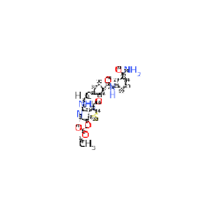 CCOC(=O)Oc1cnc(N)c2c(COc3cc(C(=O)Nc4cccc(C(N)=O)c4)ccc3C)csc12